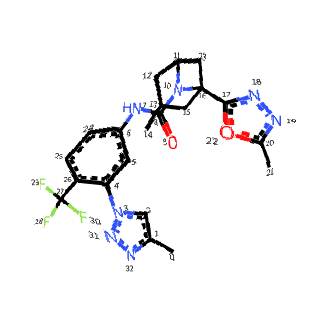 Cc1cn(-c2cc(NC(=O)N3C4CC(C)CC3(c3nnc(C)o3)C4)ccc2C(F)(F)F)nn1